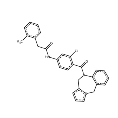 Cc1ccccc1CC(=O)Nc1ccc(C(=O)N2Cc3cccn3Cc3ccccc32)c(Cl)c1